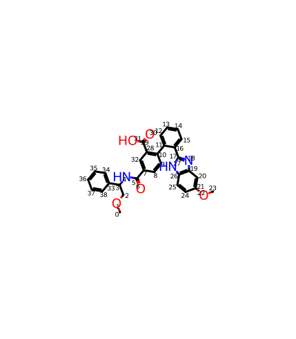 COCC(NC(=O)c1ccc(-c2ccccc2-c2nc3cc(OC)ccc3[nH]2)c(C(=O)O)c1)c1ccccc1